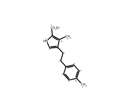 CCOC(=O)c1[nH]cc(CCc2ccc(C)cc2)c1C